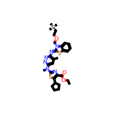 CCOC(=O)c1nc(N(C)c2cc(C)c(/N=c3\sc4ccccc4n3COCC[Si](C)(C)C)nn2)sc1C1CCCC1